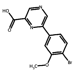 COc1cc(-c2cncc(C(=O)O)n2)ccc1Br